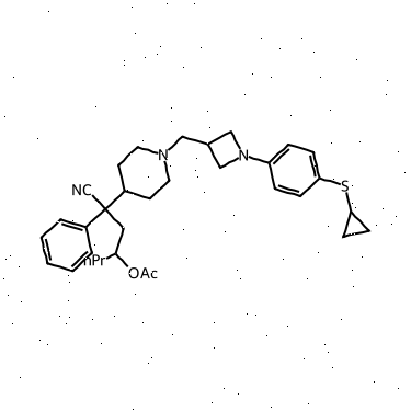 CCCC(CC(C#N)(c1ccccc1)C1CCN(CC2CN(c3ccc(SC4CC4)cc3)C2)CC1)OC(C)=O